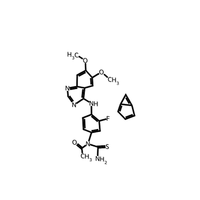 COc1cc2ncnc(Nc3ccc(N(C(C)=O)C(N)=S)cc3F)c2cc1OC.c1cc2cc-2c1